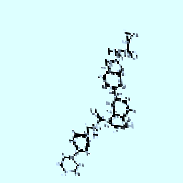 O=C(NCc1ccc(N2CCCCC2)cc1)c1c[nH]c2ccc(-c3ccc4nc(NC(=O)C5CC5)sc4c3)cc12